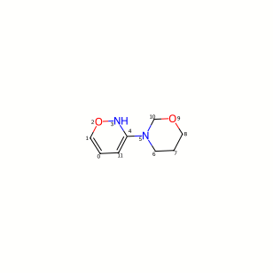 C1=CONC(N2CCCOC2)=C1